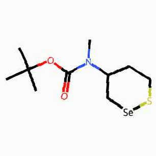 CN(C(=O)OC(C)(C)C)C1CCS[Se]C1